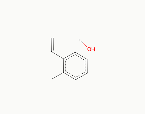 C=Cc1ccccc1C.CO